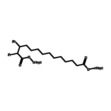 CCCCCCCOC(=O)CCCCCCCCCCC(C(C)C)C(C(=O)OCCCCCCC)C(C)C